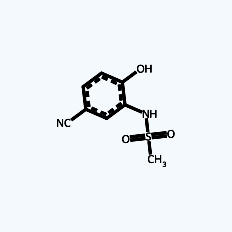 CS(=O)(=O)Nc1cc(C#N)ccc1O